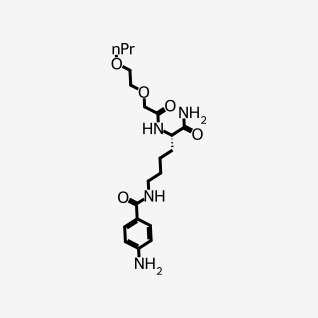 CCCOCCOCC(=O)N[C@@H](CCCCNC(=O)c1ccc(N)cc1)C(N)=O